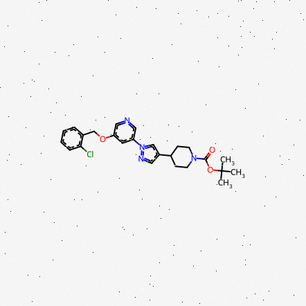 CC(C)(C)OC(=O)N1CCC(c2cnn(-c3cncc(OCc4ccccc4Cl)c3)c2)CC1